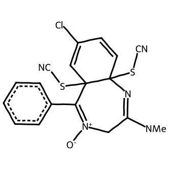 CNC1=NC2(SC#N)C=CC(Cl)=CC2(SC#N)C(c2ccccc2)=[N+]([O-])C1